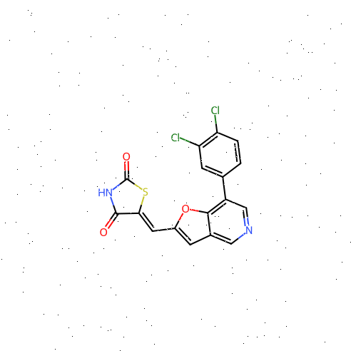 O=C1NC(=O)C(=Cc2cc3cncc(-c4ccc(Cl)c(Cl)c4)c3o2)S1